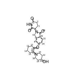 O=C1CCC(N2Cc3cc(O[C@@H]4CCCC[C@@H]4N4CCC(O)CC4)ccc3C2=O)C(=O)N1